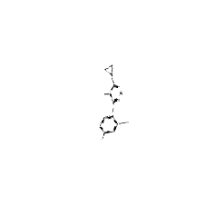 O=Cc1c(-c2ccc(F)cc2F)noc1C1CC1